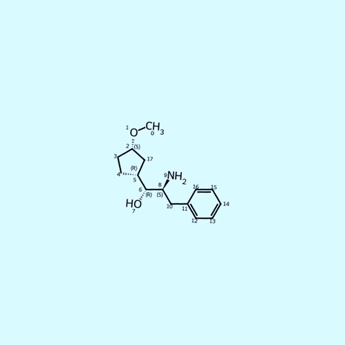 CO[C@H]1CC[C@@H]([C@@H](O)[C@@H](N)Cc2ccccc2)C1